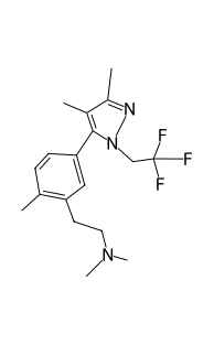 Cc1ccc(-c2c(C)c(C)nn2CC(F)(F)F)cc1CCN(C)C